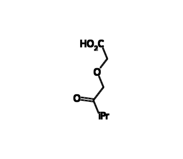 CC(C)C(=O)COCC(=O)O